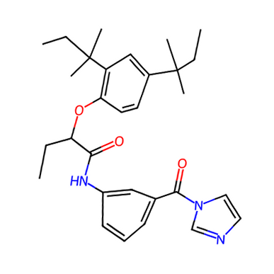 CCC(Oc1ccc(C(C)(C)CC)cc1C(C)(C)CC)C(=O)Nc1cccc(C(=O)n2ccnc2)c1